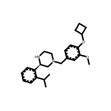 COc1cc(CN2CCN[C@H](c3ccccc3C(C)C)C2)ccc1OC1CCC1